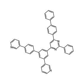 c1ccc(-c2ccc(-c3cc(-c4cc(-c5ccc(-c6cccnc6)cc5)cc(-c5cccnc5)c4)nc(-c4ccccc4)n3)cc2)cc1